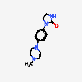 CN1CCN(c2ccc(N3CCNC3=O)cc2)CC1